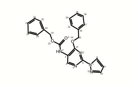 O=C(Nc1cnc(-n2cccn2)nc1OCc1ccccc1)OCc1ccccc1